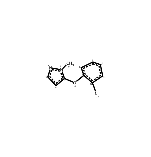 Cn1nccc1Oc1cc[c]cc1Cl